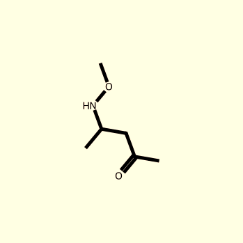 CONC(C)CC(C)=O